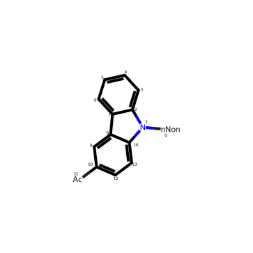 CCCCCCCCCn1c2ccccc2c2cc(C(C)=O)ccc21